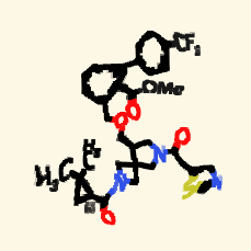 COC(=O)c1c(COCC2CN(C(=O)c3cncs3)CC23CN(C(=O)[C@H]2CC2(C)C)C3)cccc1-c1ccc(C(F)(F)F)cc1